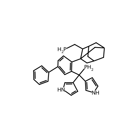 PCC1C2CC3CC(C2)CC1(c1ccc(-c2ccccc2)cc1C(P)(c1cc[nH]c1)c1cc[nH]c1)C3